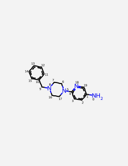 Nc1ccc(N2CCN(Cc3ccccc3)CC2)nc1